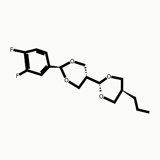 CCC[C@H]1CO[C@H]([C@H]2CO[C@H](c3ccc(F)c(F)c3)OC2)OC1